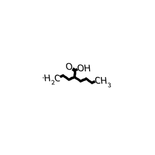 [CH2]CCC(CCCC)C(=O)O